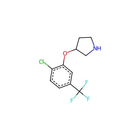 FC(F)(F)c1ccc(Cl)c(OC2CCNC2)c1